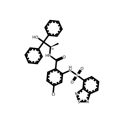 C[C@@H](NC(=O)c1ccc(Cl)cc1NS(=O)(=O)c1cccc2nsnc12)C(O)(c1ccccc1)c1ccccc1